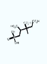 CC(CC(=O)O)(C(=O)O)C(CP(=O)(O)O)C(=O)O